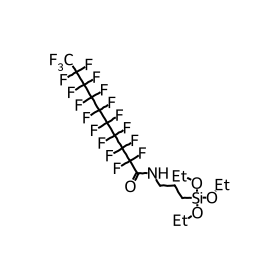 CCO[Si](CCCNC(=O)C(F)(F)C(F)(F)C(F)(F)C(F)(F)C(F)(F)C(F)(F)C(F)(F)C(F)(F)C(F)(F)F)(OCC)OCC